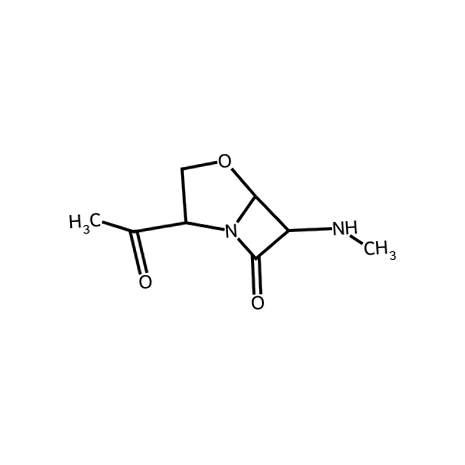 CNC1C(=O)N2C(C(C)=O)COC12